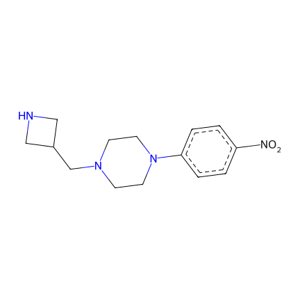 O=[N+]([O-])c1ccc(N2CCN(CC3CNC3)CC2)cc1